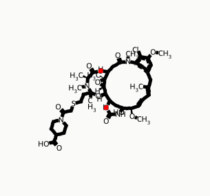 COc1cc2cc(c1Cl)N(C)C(=O)C[C@@H]1OC(=O)[C@H](C)N(C)C(C)(CCSCC(=O)N3CCC(C(=O)O)CC3)O[C@H]([C@@H]3C[C@@](O)(NC(=O)O3)[C@H](OC)/C=C/C=C(\C)C2)[C@@H]2O[C@@]12C